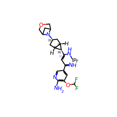 CC(C)N/C(=C\C(=N)c1cnc(N)c(OC(F)F)c1)[C@H]1[C@@H]2C[C@@H](N3C4COCC3C4)C[C@@H]21